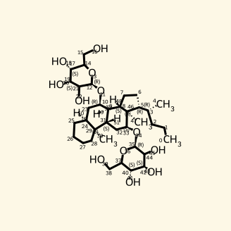 CCC[C@@H](C)[C@H]1CC[C@H]2[C@@H]3[C@H](O[C@@H]4OC(CO)[C@@H](O)[C@H](O)C4O)C[C@@H]4CCCC[C@]4(C)[C@H]3C[C@H](O[C@@H]3OC(CO)[C@@H](O)[C@H](O)C3O)[C@]12C